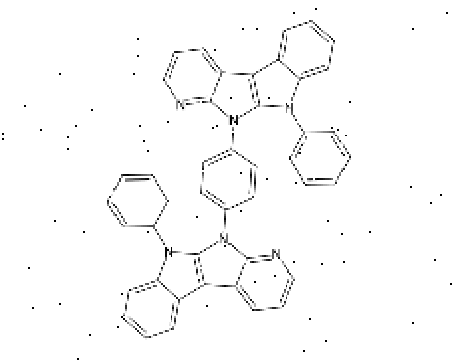 C1=CCC(n2c3ccccc3c3c4cccnc4n(-c4ccc(-n5c6ncccc6c6c7ccccc7n(-c7ccccc7)c65)cc4)c32)C=C1